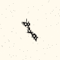 Cc1ccc(OCc2cccc(OCc3ccc4ccccc4n3)c2)c2c1NC(=O)CC2